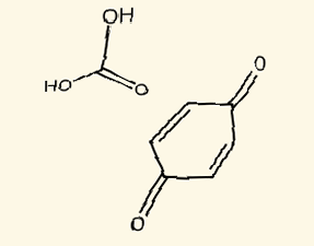 O=C(O)O.O=C1C=CC(=O)C=C1